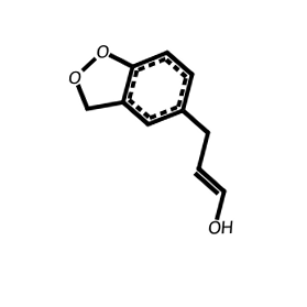 OC=CCc1ccc2c(c1)COO2